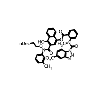 CCCCCCCCCCCCON(C(=O)c1cc(OC(=O)c2ccccc2N(C)C(=O)n2nnc3cc(C(=O)O)ccc32)c2ccccc2c1O)c1cccc(C)c1